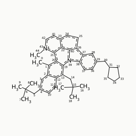 Cc1c2cc(CC(C)(C)C)ccc2c(CC(C)(C)C)c2c1c1c3c(ccc4c5cc(CC6CCCC6)ccc5n2c43)cc[n+]1C